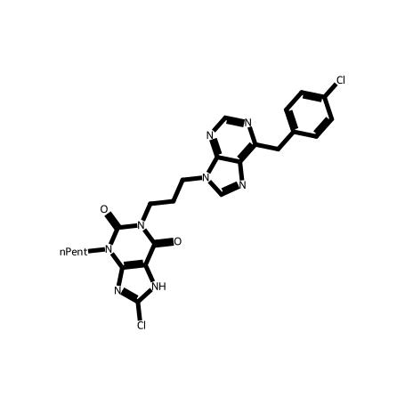 CCCCCn1c(=O)n(CCCn2cnc3c(Cc4ccc(Cl)cc4)ncnc32)c(=O)c2[nH]c(Cl)nc21